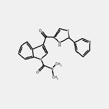 CN(C)C(=O)n1cc(C(=O)C2=CSC(c3cccnc3)N2)c2ccccc21